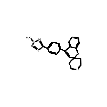 Cn1nnc(-c2ccc(C3=CC4(CCNCC4)Oc4ccccc43)cc2)n1